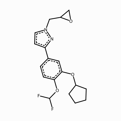 FC(F)Oc1ccc(-c2ccn(CC3CO3)n2)cc1OC1CCCC1